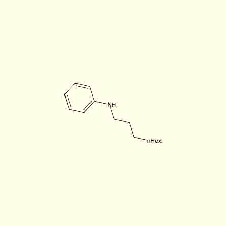 C[CH]CCCCCCCNc1ccccc1